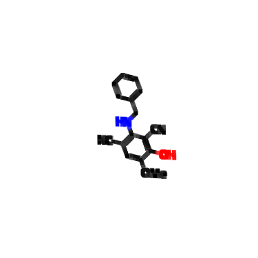 COc1cc(C#N)c(NCc2ccccc2)c(C#N)c1O